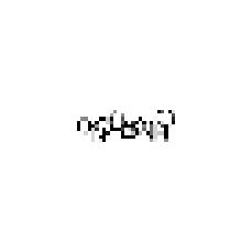 COc1cc(C)c(-c2ccc3[nH]c(C4CCCCC4)cc3n2)cn1